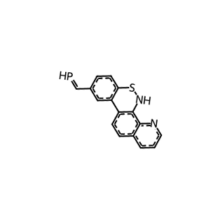 P=Cc1ccc2c(c1)-c1ccc3cccnc3c1NS2